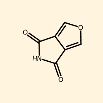 O=C1NC(=O)c2cocc21